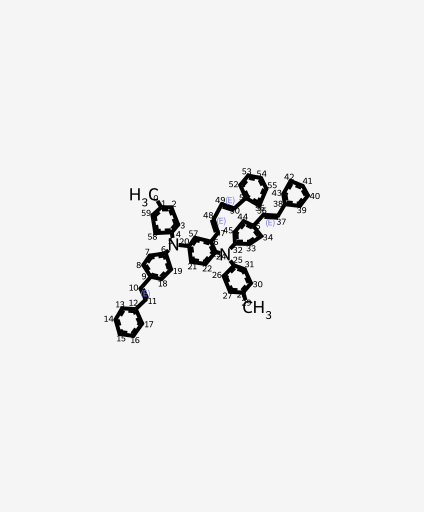 Cc1ccc(N(c2ccc(/C=C/c3ccccc3)cc2)c2ccc(N(c3ccc(C)cc3)c3ccc(/C=C/c4ccccc4)cc3)c(/C=C/C=C/c3ccccc3)c2)cc1